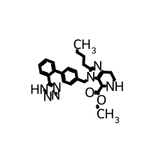 CCCCc1nc2c(n1Cc1ccc(-c3ccccc3-c3nnn[nH]3)cc1)C(C(=O)OCC)NCC2